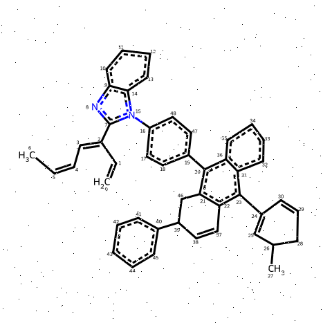 C=C/C(=C\C=C/C)c1nc2ccccc2n1-c1ccc(-c2c3c(c(C4=CC(C)CC=C4)c4ccccc24)C=CC(c2ccccc2)C3)cc1